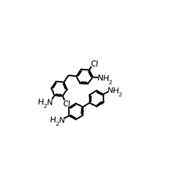 Nc1ccc(-c2ccc(N)cc2)cc1.Nc1ccc(Cc2ccc(N)c(Cl)c2)cc1Cl